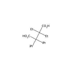 CCC(CC)(C(=O)O)C(C(=O)O)(C(C)C)C(C)C